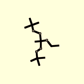 CCOC(C)(OOC(C)(C)C)OOC(C)(C)C